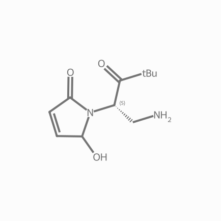 CC(C)(C)C(=O)[C@H](CN)N1C(=O)C=CC1O